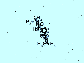 CN(C)C=NC(=O)N(S)c1cccc(S(=O)(=O)N=CN(C)C)c1